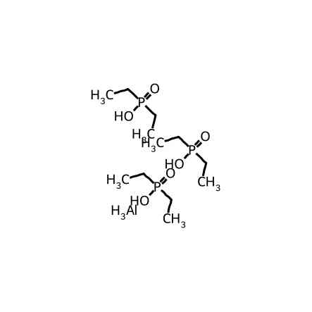 CCP(=O)(O)CC.CCP(=O)(O)CC.CCP(=O)(O)CC.[AlH3]